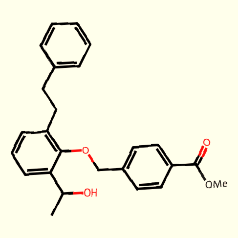 COC(=O)c1ccc(COc2c(CCc3ccccc3)cccc2C(C)O)cc1